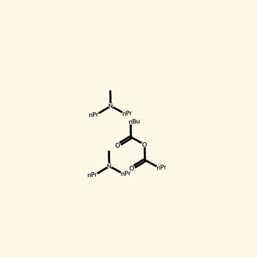 CCCCC(=O)OC(=O)CCC.CCCN(C)CCC.CCCN(C)CCC